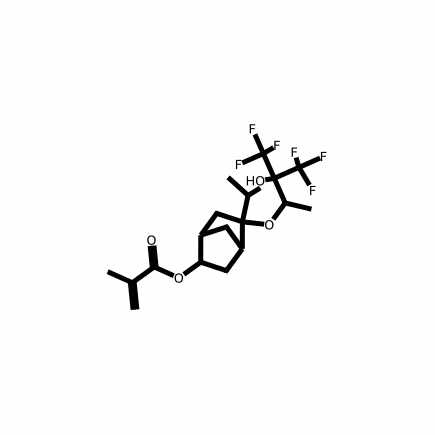 C=C(C)C(=O)OC1CC2CC1CC2(OC(C)C(O)(C(F)(F)F)C(F)(F)F)C(C)C